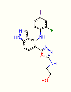 OCCNc1nnc(-c2ccc3[nH]ncc3c2Nc2ccc(I)cc2F)o1